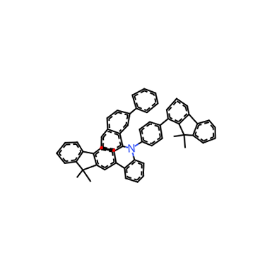 CC1(C)c2ccccc2-c2ccc(-c3ccccc3N(c3ccc(-c4cccc5c4C(C)(C)c4ccccc4-5)cc3)c3cccc4ccc(-c5ccccc5)cc34)cc21